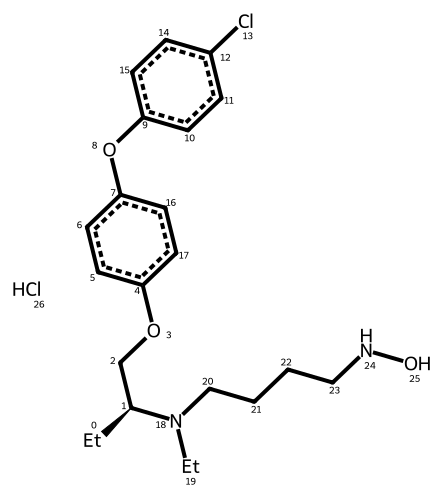 CC[C@@H](COc1ccc(Oc2ccc(Cl)cc2)cc1)N(CC)CCCCNO.Cl